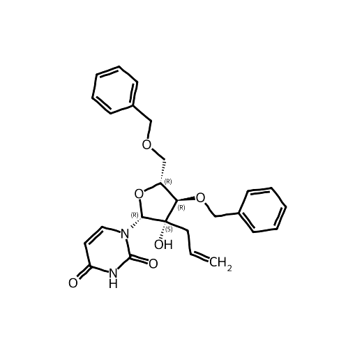 C=CC[C@]1(O)[C@H](OCc2ccccc2)[C@@H](COCc2ccccc2)O[C@H]1n1ccc(=O)[nH]c1=O